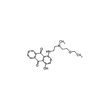 CCOCCN(C)CCNc1ccc(O)c2c1C(=O)c1ccccc1C2=O